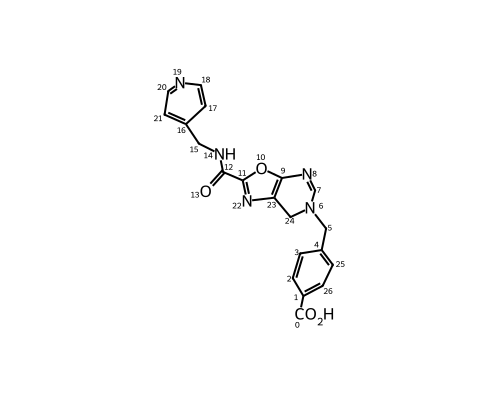 O=C(O)c1ccc(CN2C=Nc3oc(C(=O)NCc4ccncc4)nc3C2)cc1